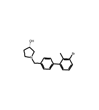 Cc1c(Br)cccc1-c1ccc(CN2CC[C@H](O)C2)cc1